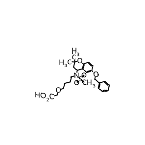 CC1(C)CC(N(CCCCOCC(=O)O)S(C)(=O)=O)c2cc(OCc3ccccc3)ccc2O1